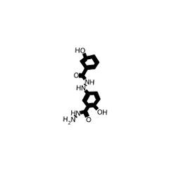 NNC(=O)c1cc(NNC(=O)c2cccc(O)c2)ccc1O